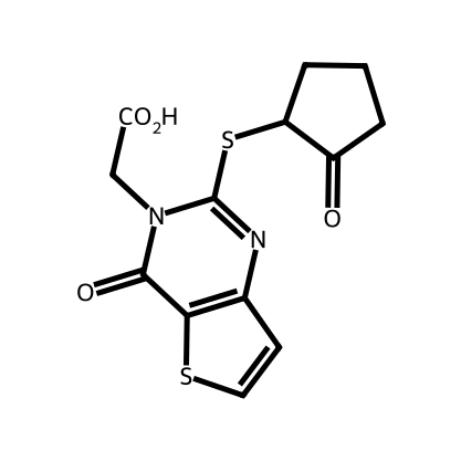 O=C(O)Cn1c(SC2CCCC2=O)nc2ccsc2c1=O